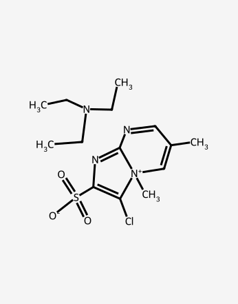 CC1=C[N+]2(C)C(=NC(S(=O)(=O)[O-])=C2Cl)N=C1.CCN(CC)CC